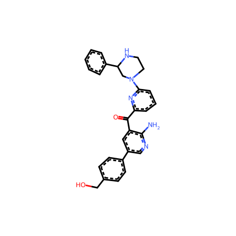 Nc1ncc(-c2ccc(CO)cc2)cc1C(=O)c1cccc(N2CCNC(c3ccccc3)C2)n1